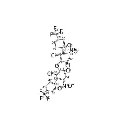 O=[N+]([O-])c1cc(Cl)c(Oc2c(Cl)cc([N+](=O)[O-])c(-c3ccc(C(F)(F)F)cc3)c2Cl)c(Cl)c1-c1ccc(C(F)(F)F)cc1